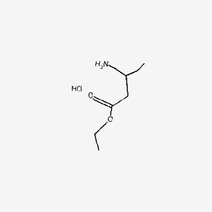 CCOC(=O)CC(C)N.Cl